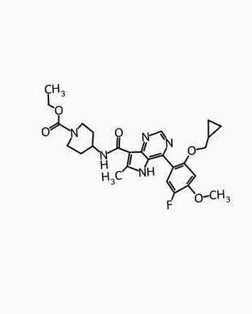 CCOC(=O)N1CCC(NC(=O)c2c(C)[nH]c3c(-c4cc(F)c(OC)cc4OCC4CC4)ncnc23)CC1